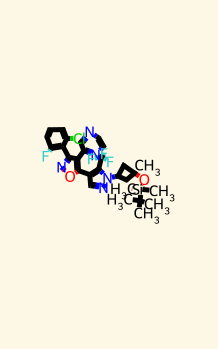 CC1(O[Si](C)(C)C(C)(C)C)CC(n2ncc(-c3onc(-c4c(F)cccc4Cl)c3-c3cnccn3)c2C(F)(F)F)C1